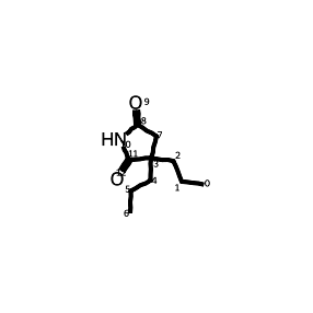 CCCC1(CCC)CC(=O)NC1=O